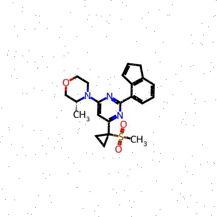 C[C@@H]1COCCN1c1cc(C2(S(C)(=O)=O)CC2)nc(-c2cccc3c2C=CC3)n1